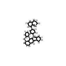 c1ccc2c(c1)Cc1cccc3cc4c5ccccc5n(-c5ccc(-c6cccc7cccnc67)cc5)c4c-2c13